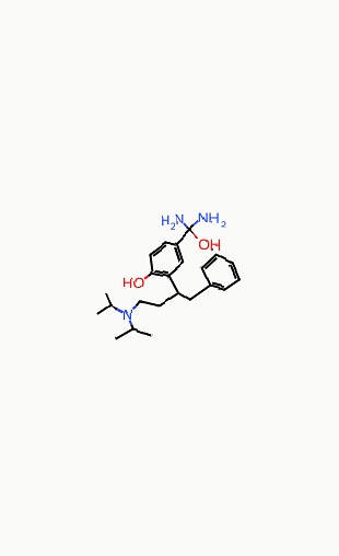 CC(C)N(CCC(Cc1ccccc1)c1cc(C(N)(N)O)ccc1O)C(C)C